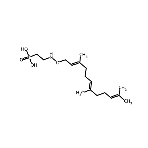 CC(C)=CCCC(C)=CCCC(C)=CCONCCP(=O)(O)O